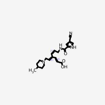 CC1CCN(C/C=C(\C=C/CNC(=O)c2cc(C#N)c[nH]2)/C=C/C(=O)O)CC1